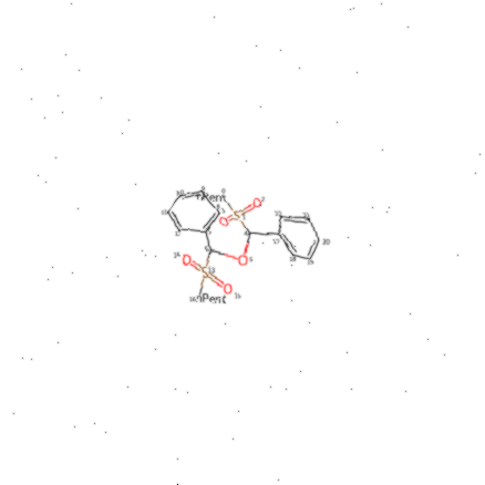 CCCCCS(=O)(=O)C(OC(c1ccccc1)S(=O)(=O)CCCCC)c1ccccc1